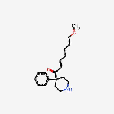 COCCCC/C=C/C(=O)C1(c2ccccc2)CCNCC1